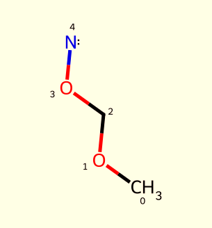 COCO[N]